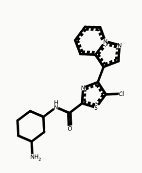 NC1CCCC(NC(=O)c2nc(-c3cnn4ccccc34)c(Cl)s2)C1